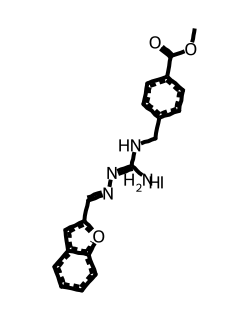 COC(=O)c1ccc(CN/C(N)=N/N=C/c2cc3ccccc3o2)cc1.I